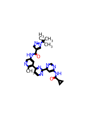 Cc1ncc(NC(=O)c2cnn(C(C)(C)C)c2)cc1-c1ccnc(-c2cc(NC(=O)C3CC3)ncn2)n1